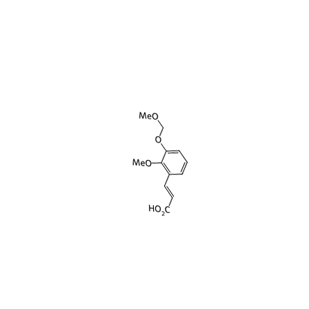 COCOc1cccc(/C=C/C(=O)O)c1OC